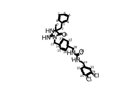 CC1(Cc2ccccc2)NC(=N)N(Cc2ccc(CNC(=O)NCc3ccc(Cl)c(Cl)c3)cc2)C1=O